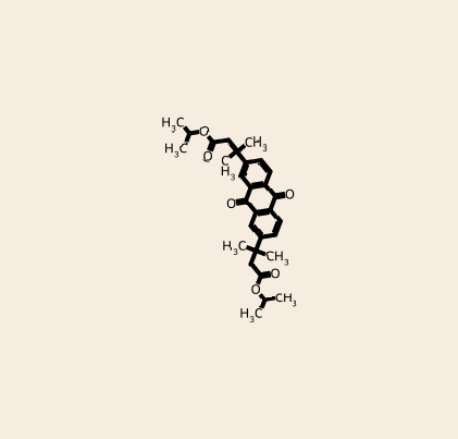 CC(C)OC(=O)CC(C)(C)c1ccc2c(c1)C(=O)c1cc(C(C)(C)CC(=O)OC(C)C)ccc1C2=O